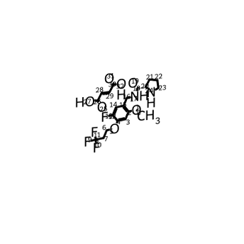 COc1cc(OCCC(F)(F)F)c(F)cc1CNC(=O)[C@@H]1CCCN1.O=C(O)/C=C/C(=O)O